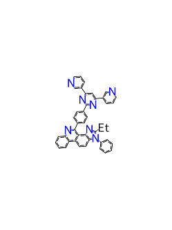 CCc1nc2c3c(-c4ccc(-c5nc(-c6cccnc6)cc(-c6cccnc6)n5)cc4)nc4ccccc4c3ccc2n1-c1ccccc1